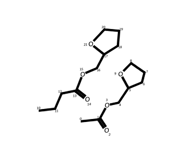 CC(=O)OCC1CCCO1.CCCC(=O)OCC1CCCO1